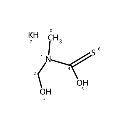 CN(CO)C(O)=S.[KH]